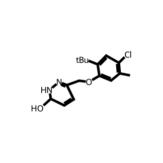 Cc1cc(OCC2=NNC(O)C=C2)c(C(C)(C)C)cc1Cl